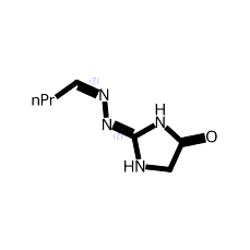 CCC/C=N\N=C1\NCC(=O)N1